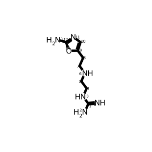 N=C(N)NCCNCCc1cnc(N)o1